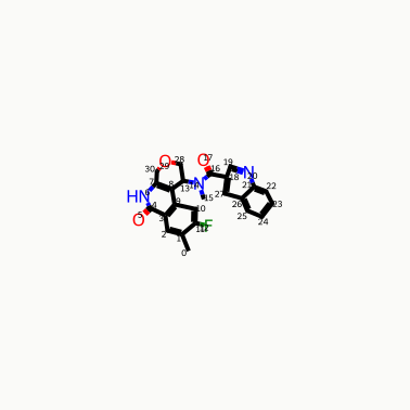 Cc1cc2c(=O)[nH]c3c(c2cc1F)C(N(C)C(=O)c1cnc2ccccc2c1)COC3